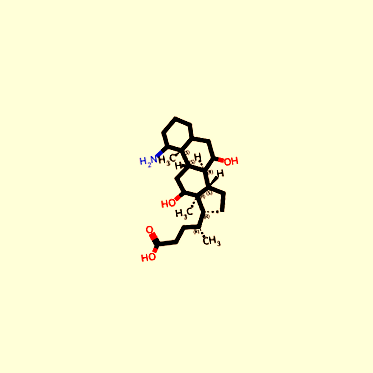 C[C@H](CCC(=O)O)[C@H]1CC[C@H]2[C@@H]3C(O)CC4CCCC(N)[C@]4(C)[C@H]3CC(O)[C@]12C